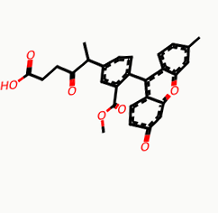 COC(=O)c1cc(C(C)C(=O)CCC(=O)O)ccc1-c1c2ccc(=O)cc-2oc2cc(C)ccc12